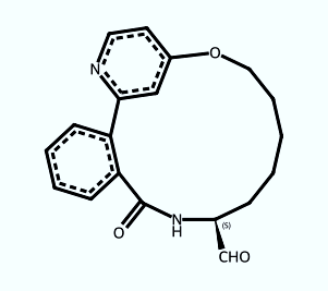 O=C[C@@H]1CCCCCOc2ccnc(c2)-c2ccccc2C(=O)N1